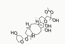 CC(=O)O[C@@H](C1C[C@@H](C)[C@H]2[C@@](O)(O1)[C@H](O)[C@@]1(C)CCC[C@H]3C(C)(C)[C@@H](O[C@H]4C[C@@H](O)CCO4)CC[C@@]34C[C@@H]4CC[C@]21C)C(C)(C)O